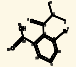 CC(C)C(=O)c1c(Br)cccc1C(=O)O